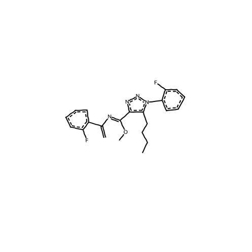 C=C(/N=C(\OC)c1nnn(-c2ccccc2F)c1CCCC)c1ccccc1F